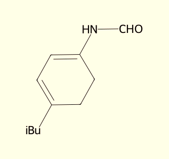 CCC(C)C1=CC=C(NC=O)CC1